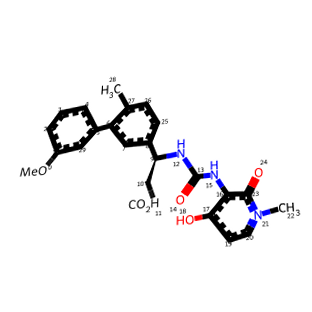 COc1cccc(-c2cc([C@H](CC(=O)O)NC(=O)Nc3c(O)ccn(C)c3=O)ccc2C)c1